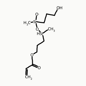 C=CC(=O)OCCC[SiH](C)O[Si](C)([O])CCCO